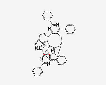 N#Cc1cccc2c1C1(c3ccccc3-c3nc(-c4ccccc4)nc(-c4ccccc4)n3)C3CC(Cc4c(-c5ccccc5)nc(-c5ccccc5)nc4-2)C2CC4CC1[C@H]4C23